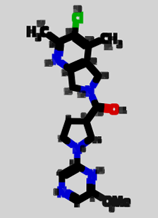 COc1cncc(N2CCC(C(=O)N3Cc4nc(C)c(Cl)c(C)c4C3)C2)n1